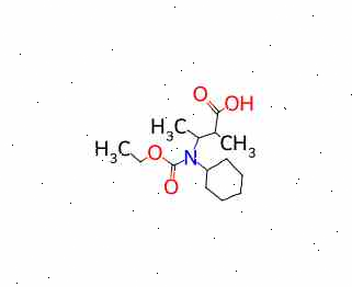 CCOC(=O)N(C1CCCCC1)C(C)C(C)C(=O)O